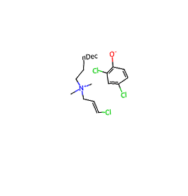 CCCCCCCCCCCC[N+](C)(C)CC=CCl.[O-]c1ccc(Cl)cc1Cl